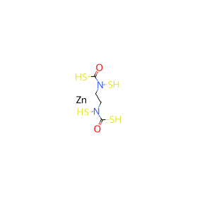 O=C(S)N(S)CCN(S)C(=O)S.[Zn]